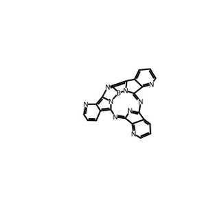 CB1n2c3c4cccnc4c2N=c2c4cccnc4/c(n21)=N/C1=NC(=N\3)/c2ncccc21